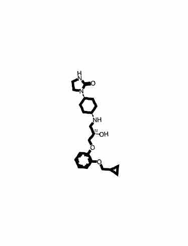 O=C1NCCN1[C@H]1CC[C@@H](NC[C@H](O)COc2ccccc2OCC2CC2)CC1